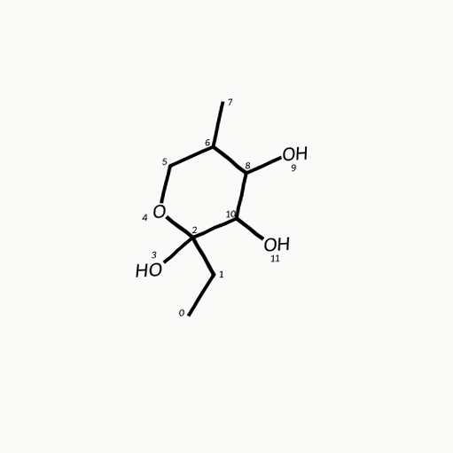 CCC1(O)OCC(C)C(O)C1O